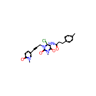 Cc1ccc(CCC(=O)Nc2c(Cl)n(CC#Cc3ccc(=O)n(C)c3)c(=O)n(C)c2=O)cc1